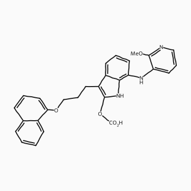 COc1ncccc1Nc1cccc2c(CCCOc3cccc4ccccc34)c(OC(=O)O)[nH]c12